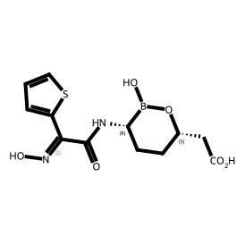 O=C(O)C[C@@H]1CC[C@H](NC(=O)/C(=N/O)c2cccs2)B(O)O1